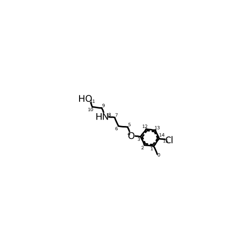 Cc1cc(OCCCNCCO)ccc1Cl